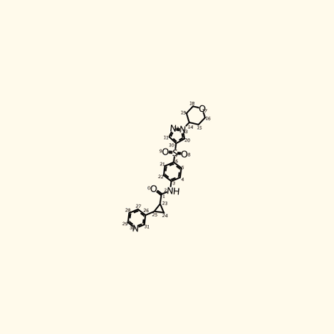 O=C(Nc1ccc(S(=O)(=O)c2cnn(C3CCOCC3)c2)cc1)C1CC1c1cccnc1